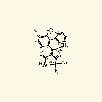 Cc1ccccc1-c1cc(F)ccc1-c1c(C(N)=O)c(C(F)(F)F)nn1C